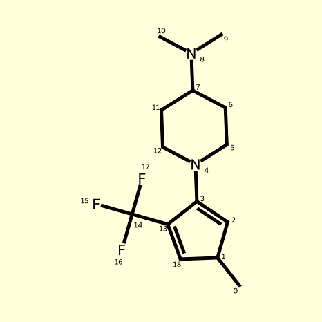 CC1C=C(N2CCC(N(C)C)CC2)C(C(F)(F)F)=C1